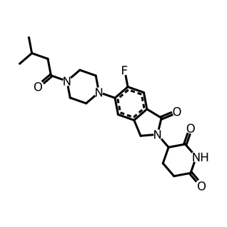 CC(C)CC(=O)N1CCN(c2cc3c(cc2F)C(=O)N(C2CCC(=O)NC2=O)C3)CC1